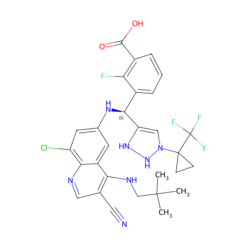 CC(C)(C)CNc1c(C#N)cnc2c(Cl)cc(N[C@H](C3=CN(C4(C(F)(F)F)CC4)NN3)c3cccc(C(=O)O)c3F)cc12